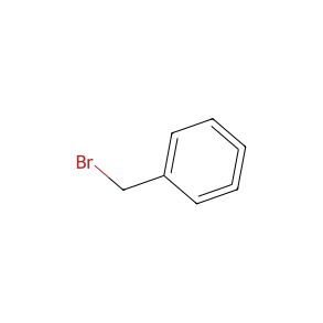 BrCC1=CC=C=C=C1